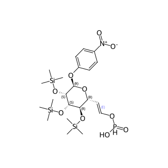 C[Si](C)(C)O[C@@H]1[C@H](O[Si](C)(C)C)[C@@H](Oc2ccc([N+](=O)[O-])cc2)O[C@H](/C=C/O[PH](=O)O)[C@H]1O[Si](C)(C)C